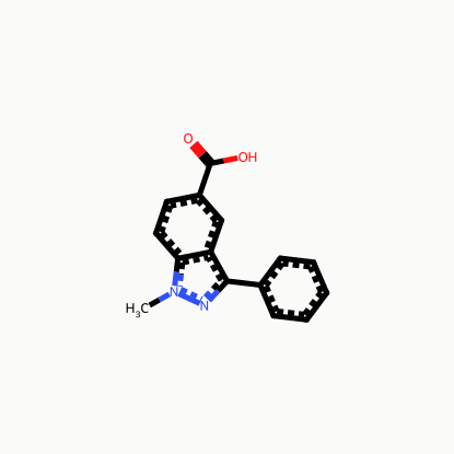 Cn1nc(-c2ccccc2)c2cc(C(=O)O)ccc21